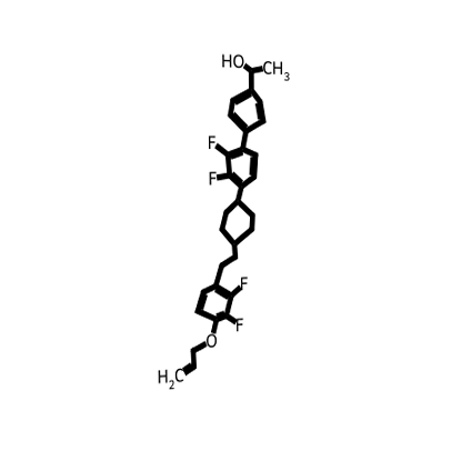 C=CCOc1ccc(CCC2CCC(c3ccc(-c4ccc(C(C)O)cc4)c(F)c3F)CC2)c(F)c1F